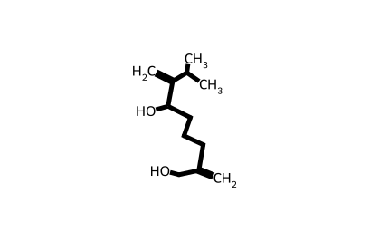 C=C(CO)CCCC(O)C(=C)C(C)C